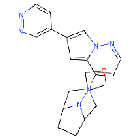 c1cc(-c2cc3c(N4CC5CCC(C4)N5C4COC4)ccnn3c2)cnn1